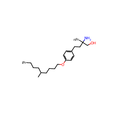 CCCC(N)(CO)CCc1ccc(OCCCCC(C)CCCC(C)C)cc1